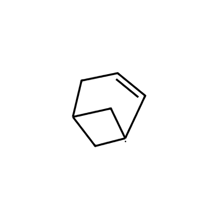 C1=C[C]2CC(C1)C2